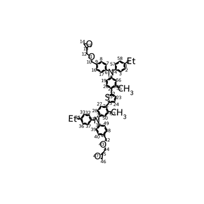 CCc1ccc(N(c2ccc(COCC3CO3)cc2)c2ccc(-c3ccc(-c4ccc(N(c5ccc(CC)cc5)c5ccc(COCC6CO6)cc5)cc4C)s3)c(C)c2)cc1